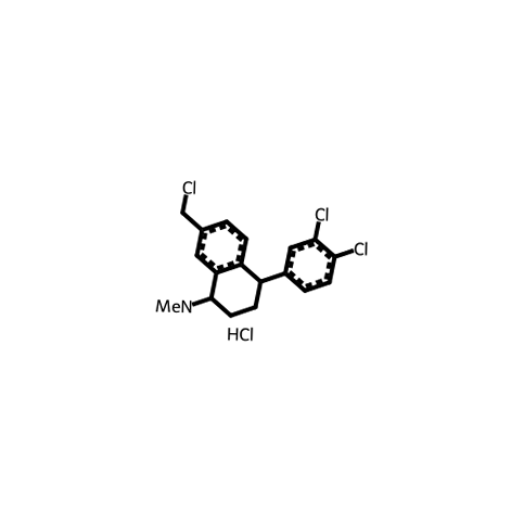 CNC1CCC(c2ccc(Cl)c(Cl)c2)c2ccc(CCl)cc21.Cl